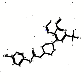 C=Cc1nc(C(F)(F)F)cc(C2CCC(CC(=O)Nc3ccc(Cl)cc3)CC2)c1/C=C\C